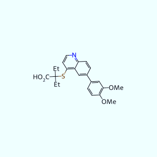 CCC(CC)(Sc1ccnc2ccc(-c3ccc(OC)c(OC)c3)cc12)C(=O)O